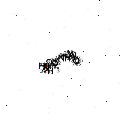 CN1[C@@H]2CC[C@H]1C[C@@H](Oc1cccc(CNCc3ccc(Oc4ccccc4)nc3)c1)C2